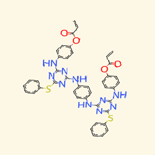 C=CC(=O)Oc1ccc(Nc2nc(Nc3ccc(Nc4nc(Nc5ccc(OC(=O)C=C)cc5)nc(Sc5ccccc5)n4)cc3)nc(Sc3ccccc3)n2)cc1